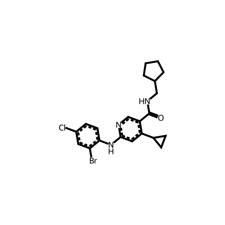 O=C(NCC1CCCC1)c1cnc(Nc2ccc(Cl)cc2Br)cc1C1CC1